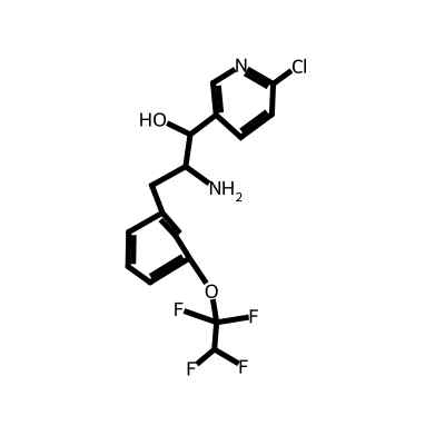 NC(Cc1cccc(OC(F)(F)C(F)F)c1)C(O)c1ccc(Cl)nc1